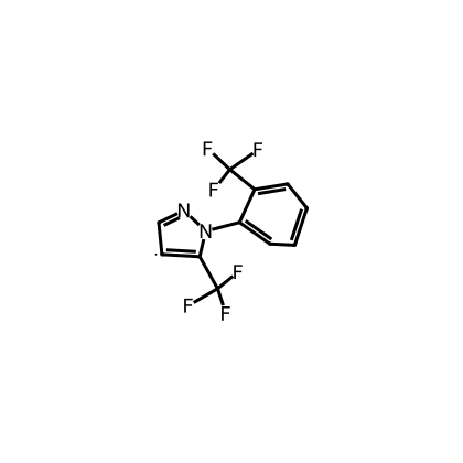 FC(F)(F)c1ccccc1-n1nc[c]c1C(F)(F)F